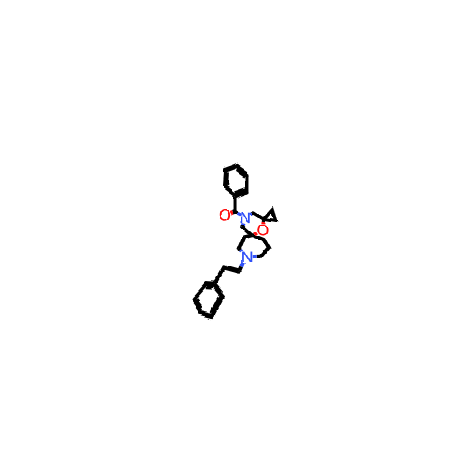 O=C(c1ccccc1)N1CC2(CCCN(CCc3ccccc3)CC2)OC2(CC2)C1